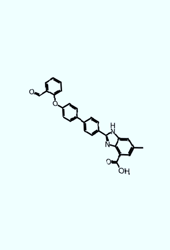 Cc1cc(C(=O)O)c2nc(-c3ccc(-c4ccc(Oc5ccccc5C=O)cc4)cc3)[nH]c2c1